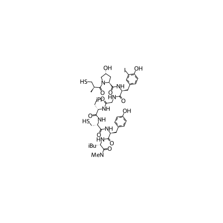 CCC(C)[C@H](NC(=O)[C@H](Cc1ccc(O)cc1)NC(=O)[C@H](CS)NC(=O)[C@H](CC(C)C)NC(=O)CNC(=O)[C@H](Cc1ccc(O)c(I)c1)NC(=O)[C@@H]1C[C@@H](O)CN1C(=O)[C@@H](C)CS)C(=O)NC